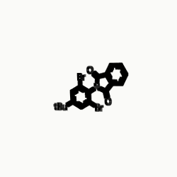 CC(C)(C)c1cc(Br)c(N2C(=O)c3ccccc3C2=O)c(Br)c1